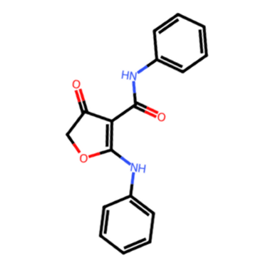 O=C1COC(Nc2ccccc2)=C1C(=O)Nc1ccccc1